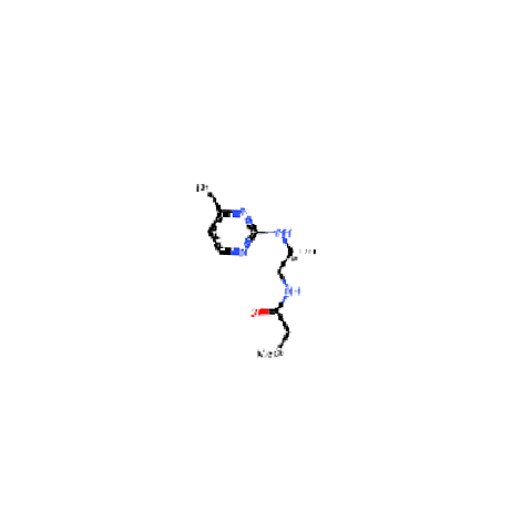 COCC(=O)NC[C@@H](C)Nc1nccc(C(C)C)n1